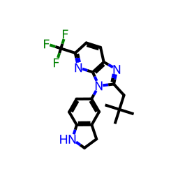 CC(C)(C)Cc1nc2ccc(C(F)(F)F)nc2n1-c1ccc2c(c1)CCN2